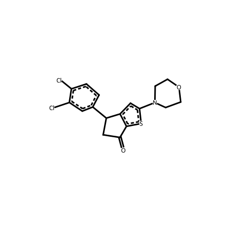 O=C1CC(c2ccc(Cl)c(Cl)c2)c2cc(N3CCOCC3)sc21